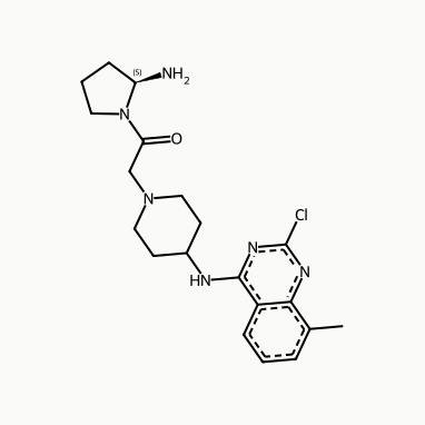 Cc1cccc2c(NC3CCN(CC(=O)N4CCC[C@H]4N)CC3)nc(Cl)nc12